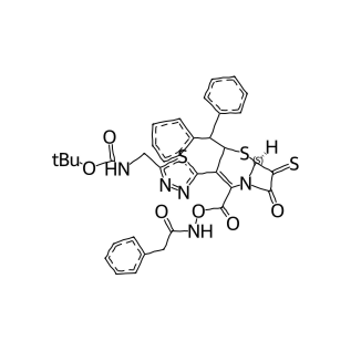 CC(C)(C)OC(=O)NCc1nnc(C2=C(C(=O)ONC(=O)Cc3ccccc3)N3C(=O)C(=S)[C@@H]3SC2C(c2ccccc2)c2ccccc2)s1